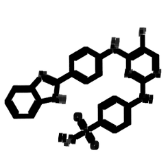 NS(=O)(=O)c1ccc(Nc2ncc(F)c(Nc3ccc(-c4nc5ccccc5[nH]4)cc3)n2)cc1